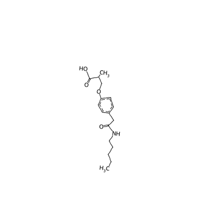 CCCCCNC(=O)Cc1ccc(OCC(C)C(=O)O)cc1